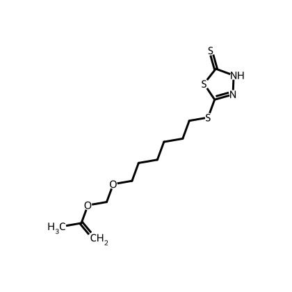 C=C(C)OCOCCCCCCSc1n[nH]c(=S)s1